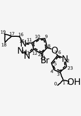 CC(O)c1ccc(Oc2ccc3c(nnn3CC3CC3)c2Br)nc1